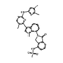 Cc1cnc(Nc2cc(C)n(C)n2)nc1-c1c[nH]c2c(N3Cc4c(NS(C)(=O)=O)cccc4C3=O)cccc12